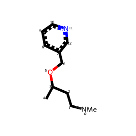 CNCCC(C)OCc1cccnc1